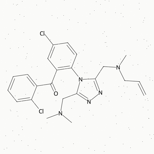 C=CCN(C)Cc1nnc(CN(C)C)n1-c1ccc(Cl)cc1C(=O)c1ccccc1Cl